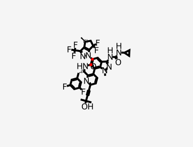 C[C@H]1CC(F)(F)c2c1c(C(F)(F)F)nn2CC(=O)N[C@@H](Cc1cc(F)cc(F)c1)c1nc(C#CC(C)(C)O)ccc1-c1cccc2c(NC(=O)NC3CC3)nn(C)c12